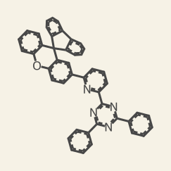 c1ccc(-c2nc(-c3ccccc3)nc(-c3cccc(-c4ccc5c(c4)C4(c6ccccc6O5)c5ccccc5-c5ccccc54)n3)n2)cc1